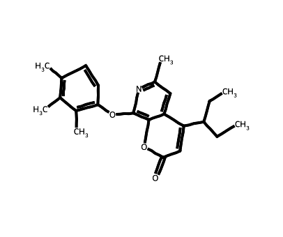 CCC(CC)c1cc(=O)oc2c(Oc3ccc(C)c(C)c3C)nc(C)cc12